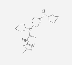 Cc1cnc(NC(=O)N(C2CCCC2)C2CCN(C(=O)C3CCCC3)CC2)s1